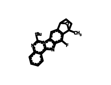 CC(C)(C)c1nc2ccccc2c2nc3c(F)c4c(cc3n12)C1CCC4(C)O1